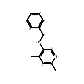 Cc1cc(C)c(OCc2ccccc2)cn1